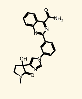 CN1CCC(O)(c2cn(-c3cccc(-c4nc(C(N)=O)c5ccccc5n4)c3)cn2)C1=O